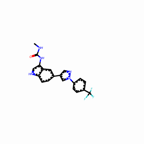 CNC(=O)Nc1c[nH]c2ccc(-c3cnn(-c4ccc(C(F)(F)F)cc4)c3)cc12